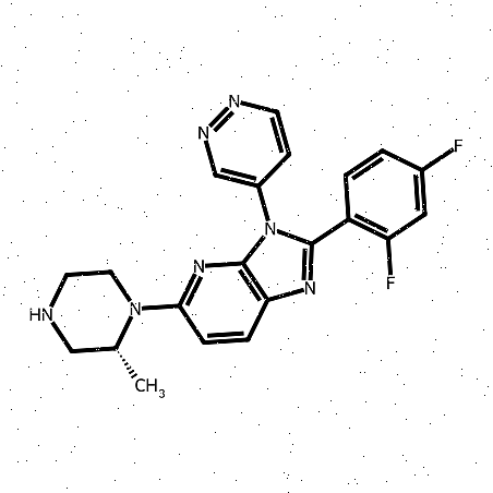 C[C@@H]1CNCCN1c1ccc2nc(-c3ccc(F)cc3F)n(-c3ccnnc3)c2n1